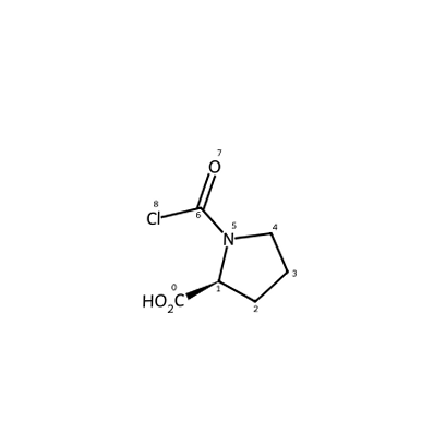 O=C(O)[C@@H]1CCCN1C(=O)Cl